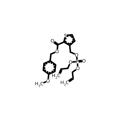 C=CCOP(=O)(OCC=C)OCc1ccsc1C(=O)OCc1ccc(OC)cc1